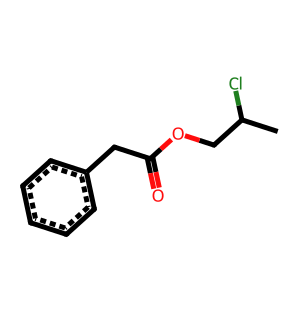 CC(Cl)COC(=O)Cc1ccccc1